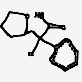 O=C(O)C(Cl)(c1ccccc1)C1CCCO1